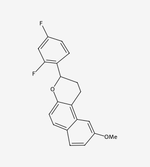 COc1ccc2ccc3c(c2c1)CCC(c1ccc(F)cc1F)O3